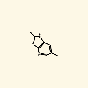 Cc1cnc2c(c1)NC(C)O2